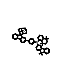 CC1(C)CCC(C)(C)c2c(N(c3ccc(-c4ccc5c(c4)C4(c6ccccc6-5)C5CC6CC7CC4C75C6)cc3)c3ccc4c(c3)-c3ccccc3C4(C)C)cccc21